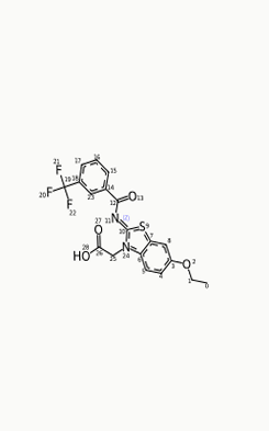 CCOc1ccc2c(c1)s/c(=N\C(=O)c1cccc(C(F)(F)F)c1)n2CC(=O)O